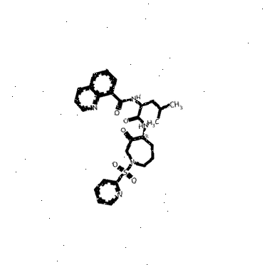 CC(C)CC(NC(=O)c1cccc2cccnc12)C(=O)N[C@H]1CCCN(S(=O)(=O)c2ccccn2)CC1=O